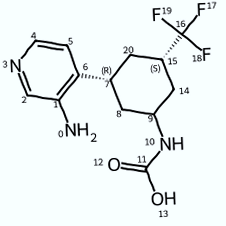 Nc1cnccc1[C@H]1CC(NC(=O)O)C[C@@H](C(F)(F)F)C1